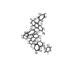 c1ccc(-c2ccc(-c3c4ccccc4c(-c4cccc5sc6cc(-c7c8ccccc8c(-c8ccccc8)c8ccccc78)ccc6c45)c4ccccc34)c3ccccc23)cc1